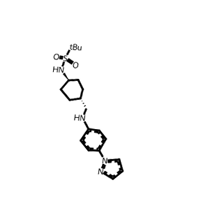 CC(C)(C)S(=O)(=O)N[C@H]1CC[C@H](CNc2ccc(-n3cccn3)cc2)CC1